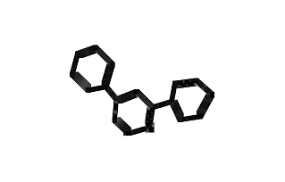 [c]1cc(-c2ccccc2)cc(-c2ccccc2)n1